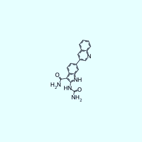 NC(=O)Nc1[nH]c2cc(-c3cnc4ccccc4c3)ccc2c1C(N)=O